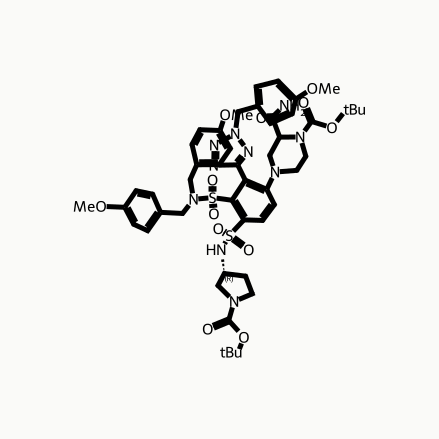 COc1ccc(CN(Cc2ccc(OC)cc2)S(=O)(=O)c2c(S(=O)(=O)N[C@@H]3CCN(C(=O)OC(C)(C)C)C3)ccc(N3CCN(C(=O)OC(C)(C)C)C(C(N)=O)C3)c2-c2nnn(Cc3ccc(OC)cc3)n2)cc1